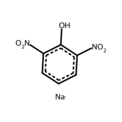 O=[N+]([O-])c1cccc([N+](=O)[O-])c1O.[Na]